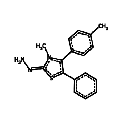 Cc1ccc(-c2c(-c3ccccc3)sc(=NN)n2C)cc1